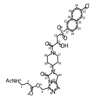 CC(=O)NCCC(=O)OCc1ncc2n1C(=O)N(C1CCN(C(=O)[C@H](O)CS(=O)(=O)c3ccc4cc(Cl)ccc4c3)CC1)C2